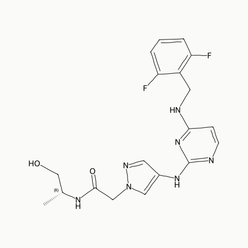 C[C@H](CO)NC(=O)Cn1cc(Nc2nccc(NCc3c(F)cccc3F)n2)cn1